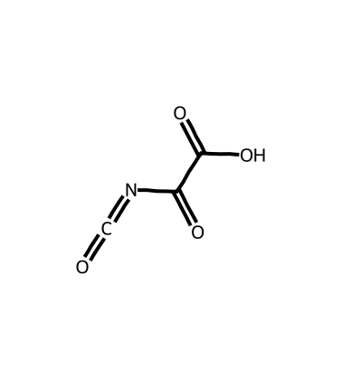 O=C=NC(=O)C(=O)O